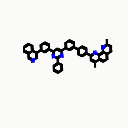 Cc1ccc2ccc3c(C)cc(-c4ccc(-c5cccc(-c6cc(-c7cccc(-c8cncc9ccccc89)c7)nc(-c7ccccc7)n6)c5)cc4)nc3c2n1